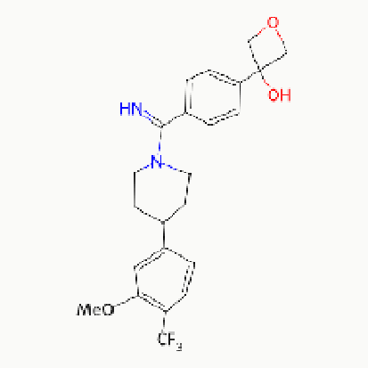 COc1cc(C2CCN(C(=N)c3ccc(C4(O)COC4)cc3)CC2)ccc1C(F)(F)F